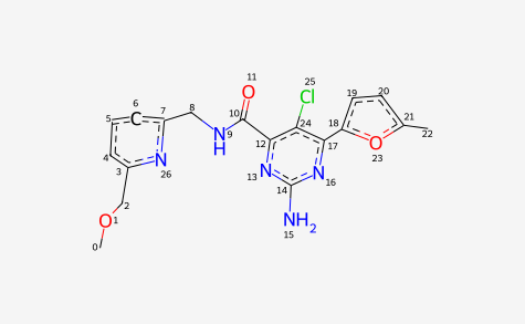 COCc1cccc(CNC(=O)c2nc(N)nc(-c3ccc(C)o3)c2Cl)n1